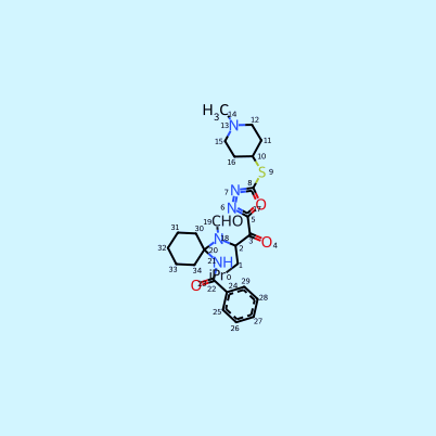 CC(C)CC(C(=O)c1nnc(SC2CCN(C)CC2)o1)N(C=O)C1(NC(=O)c2ccccc2)CCCCC1